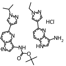 CC(C)n1cc(-c2ccc3[nH]cc(NC(=O)OC(C)(C)C)c3n2)cn1.CCn1cc(-c2ccc3[nH]cc(N)c3n2)cn1.Cl